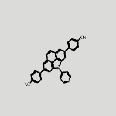 N#Cc1ccc(-c2cc3ccc4cc(-c5ccc(C#N)cc5)cc5c4c3c(c2)n5-c2ccccc2)cc1